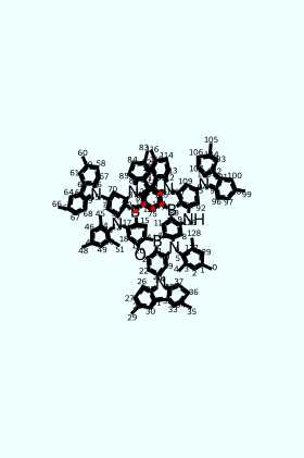 Cc1cc(C)c(N2c3cc4c(cc3B3c5cc6c(cc5Oc5cc(-n7c8ccc(C)cc8c8cc(C)ccc87)cc2c53)N(c2c(C)cc(C)cc2C)c2cc(-n3c5ccc(C)cc5c5cc(C)ccc53)cc3c2B6c2cc(C)cc5c6cc(C)ccc6n-3c25)B2c3c(cc(-n5c6ccc(C)cc6c6cc(C)ccc65)cc3-n3c5ccc(C)cc5c5cc(C)cc2c53)N4)c(C)c1